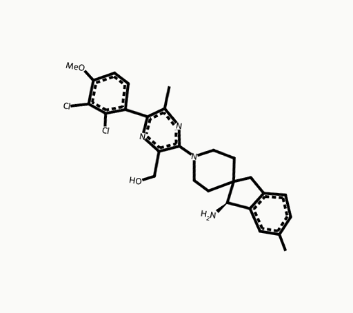 COc1ccc(-c2nc(CO)c(N3CCC4(CC3)Cc3ccc(C)cc3[C@H]4N)nc2C)c(Cl)c1Cl